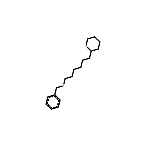 c1ccc(CSCCCCCCC2CCCCO2)cc1